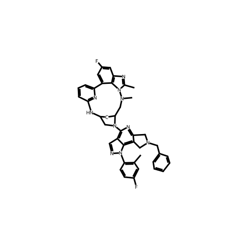 Cc1cc(F)ccc1-n1ncc2c(N3CC4CC3CN(C)n3c(C)nc5cc(F)cc(c53)-c3cccc(n3)N4)nc3c(c21)CN(Cc1ccccc1)C3